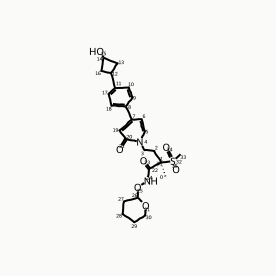 C[C@@](CCn1ccc(-c2ccc(C3CC(O)C3)cc2)cc1=O)(C(=O)NOC1CCCCO1)S(C)(=O)=O